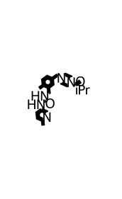 Cc1ccc(NC(=O)NCc2cc(CN3CCN(C(=O)C(C)C)CC3)ccc2C)cn1